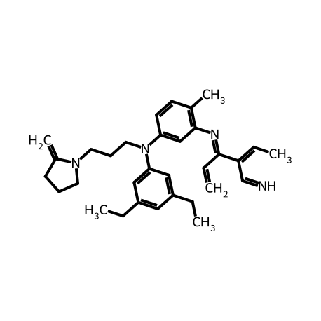 C=CC(=N\c1cc(N(CCCN2CCCC2=C)c2cc(CC)cc(CC)c2)ccc1C)/C(C=N)=C/C